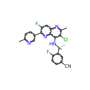 Cc1ccc(-c2nc3c(N[C@H](C)c4cc(C#N)ccc4F)c(Cl)c(C)nc3cc2F)cn1